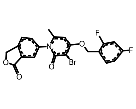 Cc1cc(OCc2ccc(F)cc2F)c(Br)c(=O)n1-c1ccc2c(c1)C(=O)OC2